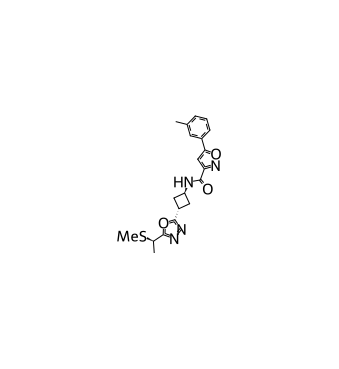 CS[C@H](C)c1nnc([C@H]2C[C@H](NC(=O)c3cc(-c4cccc(C)c4)on3)C2)o1